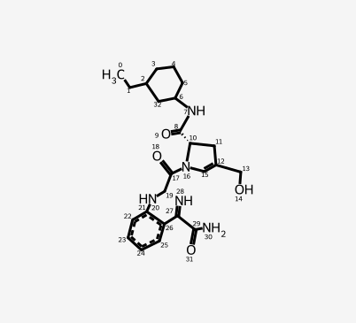 CCC1CCCC(NC(=O)[C@@H]2CC(CO)=CN2C(=O)CNc2ccccc2C(=N)C(N)=O)C1